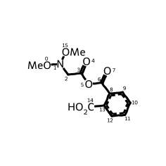 CON(CC(=O)OC(=O)c1ccccc1C(=O)O)OC